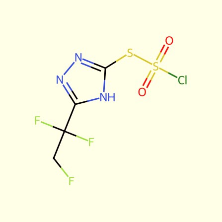 O=S(=O)(Cl)Sc1nnc(C(F)(F)CF)[nH]1